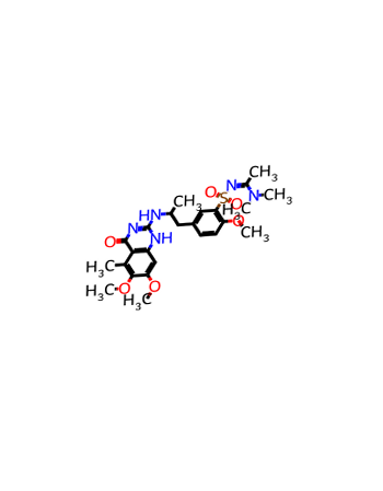 COc1ccc(CC(C)Nc2nc(=O)c3c(C)c(OC)c(OC)cc3[nH]2)cc1S(=O)(=O)N=C(C)N(C)C